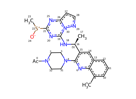 CC(=O)N1CCN(c2nc3c(C)cccc3cc2[C@H](C)Nc2nc([S+](C)[O-])nc3ccnn23)CC1